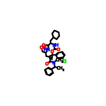 CC(c1ccccc1)N(C)C(=O)CCC(CO)NC(=O)C(CC1CCCCC1)NC(=O)OC1(c2cccc(Cl)c2)CC1